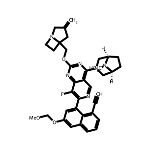 C#Cc1cccc2cc(OCOC)cc(-c3ncc4c(N5C[C@H]6CC[C@@H](C5)N6C(=O)O)nc(OCC56CCN5CC(=C)C6)nc4c3F)c12